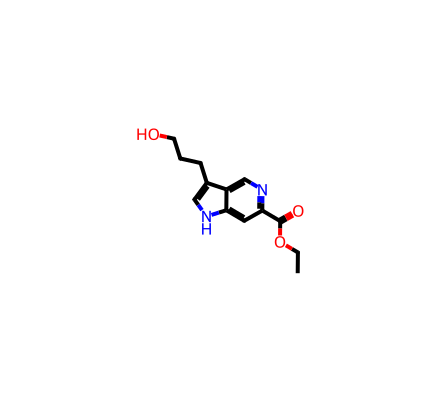 CCOC(=O)c1cc2[nH]cc(CCCO)c2cn1